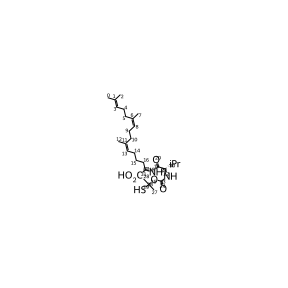 CC(C)=CCCC(C)=CCCC(C)=CCCC[C@@H](NC(=O)[C@@H](NC(=O)OC(C)(C)S)C(C)C)C(=O)O